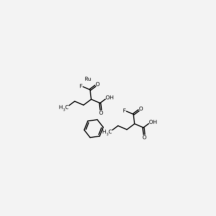 C1=CCC=CC1.CCCC(C(=O)O)C(=O)F.CCCC(C(=O)O)C(=O)F.[Ru]